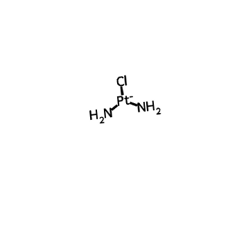 [NH2][Pt-]([NH2])[Cl]